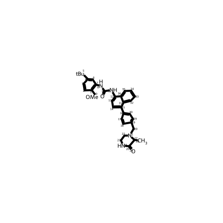 COc1ccc(C(C)(C)C)cc1NC(=O)Nc1ccc(-c2ccc(CN3CCNC(=O)C3C)cc2)c2ccccc12